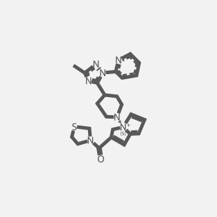 Cc1nc(C2CCN([N@@+]34C=CC=C3C=C(C(=O)N3CCSC3)C4)CC2)n(-c2ccccn2)n1